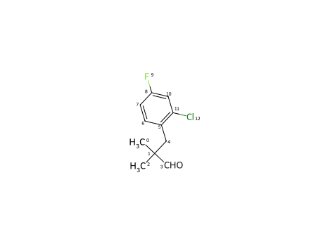 CC(C)(C=O)Cc1ccc(F)cc1Cl